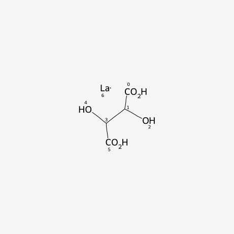 O=C(O)C(O)C(O)C(=O)O.[La]